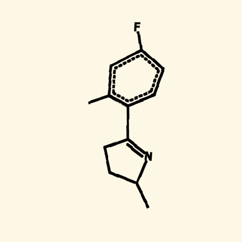 Cc1cc(F)ccc1C1=NC(C)CC1